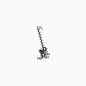 CCCCCCCCCCCCCCCCc1ccccc1OS(=O)(=O)O[C@@H]1O[C@H](CO)[C@@H](O)[C@H](O)[C@H]1O